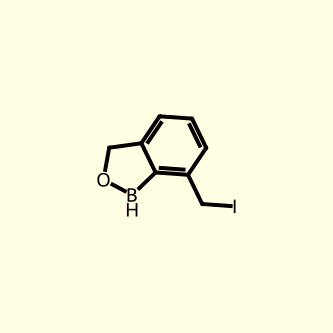 ICc1cccc2c1BOC2